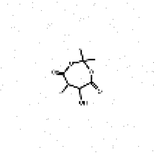 CC1(C)OC(=O)C(O)C(O)C(=O)O1